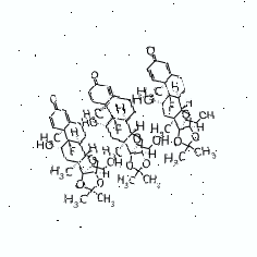 CC1(C)O[C@@H]2C[C@H]3[C@@H]4CCC5=CC(=O)C=C[C@]5(C)[C@@]4(F)[C@@H](O)C[C@]3(C)[C@]2(C(=O)CO)O1.CC1(C)O[C@@H]2C[C@H]3[C@@H]4CCC5=CC(=O)C=C[C@]5(C)[C@@]4(F)[C@@H](O)C[C@]3(C)[C@]2(C(=O)CO)O1.CC1(C)O[C@@H]2C[C@H]3[C@@H]4CCC5=CC(=O)C=C[C@]5(C)[C@@]4(F)[C@@H](O)C[C@]3(C)[C@]2(C(=O)CO)O1